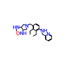 CCc1c(CN2CC3NCONC3C2)ccc(NCc2ccccn2)c1CC